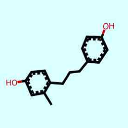 Cc1cc(O)ccc1CCCc1ccc(O)cc1